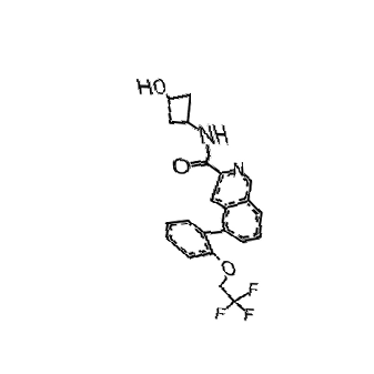 O=C(NC1CC(O)C1)c1cc2c(-c3ccccc3OCC(F)(F)F)cccc2cn1